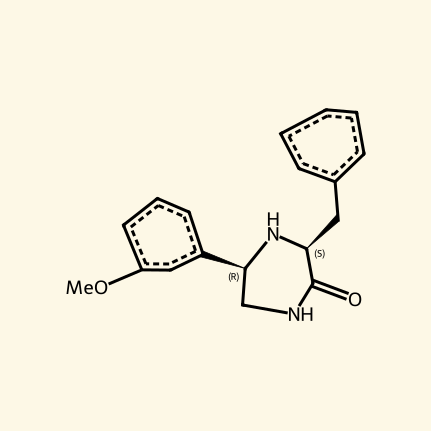 COc1cccc([C@@H]2CNC(=O)[C@H](Cc3ccccc3)N2)c1